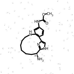 COC(=O)Nc1ccc2c(c1)NCCCCCC[C@H](N)c1nc-2c[nH]1